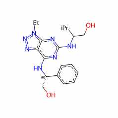 CCn1nnc2c(N[C@@H](CO)c3ccccc3)nc(NC(CO)C(C)C)nc21